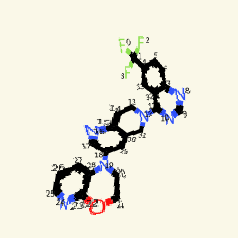 FC(F)(F)c1ccc2ncnc(N3CCc4ncc(N5CCOc6ncccc65)cc4C3)c2c1